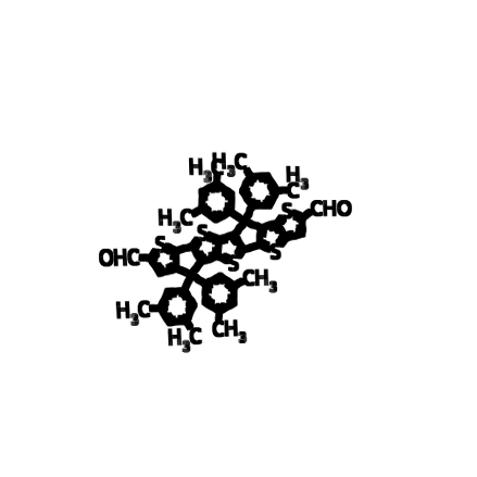 Cc1cc(C)cc(C2(c3cc(C)cc(C)c3)c3cc(C=O)sc3-c3sc4c5c(sc4c32)-c2sc3cc(C=O)sc3c2C5(c2cc(C)cc(C)c2)c2cc(C)cc(C)c2)c1